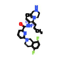 C=C/C=C(\C(=C/C)NC(=O)c1cccc(N2CCc3c(F)ccc(F)c3C2)n1)N1CCNCC1